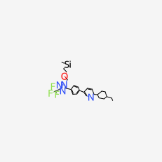 CCC1CCC(c2ccc(-c3ccc(-c4nc(C(F)(F)F)nn4COCC[Si](C)(C)C)cc3)cn2)CC1